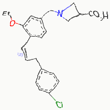 CCOc1cc(CN2CC(C(=O)O)C2)ccc1/C=C\Cc1ccc(Cl)cc1